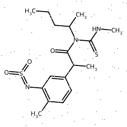 CCCC(C)N(C(=O)C(C)c1ccc(C)c(N=S(=O)=O)c1)C(=S)NC